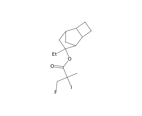 CCC1(OC(=O)C(C)(I)CF)CC2CC1C1CCC21